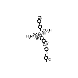 Cc1ccc(COc2ccc(C3COc4cc5c(cc4O3)CN(S(=O)(=O)c3sc(N)nc3C)C(C(=O)NC(Cc3ccc(-c4ccc(C#N)cc4)cc3)C(=O)O)C5)cc2)cc1Cl